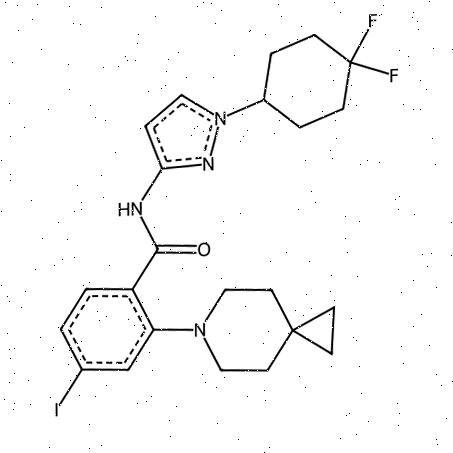 O=C(Nc1ccn(C2CCC(F)(F)CC2)n1)c1ccc(I)cc1N1CCC2(CC1)CC2